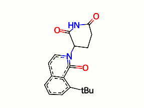 CC(C)(C)c1cccc2ccn(C3CCC(=O)NC3=O)c(=O)c12